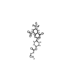 CCCC(=O)OC1CCN(c2nc(=O)c3cc(C(F)(F)F)cc([N+](=O)[O-])c3s2)CC1